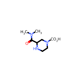 CN(C)C(=O)C1CN(C(=O)O)CCN1